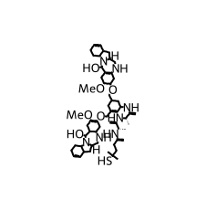 C=C(CCC(C)(C)S)N[C@@H](C)C(=C)N[C@@H](C)C(=C)NC1C=C(COC2=C(OC)CC3C(C2)NC[C@@H]2CC4C=CCCC4N2C3O)CC(COC2CC3=C(CC2OC)C(O)N2C4CCC=CC4C[C@H]2CN3)C1